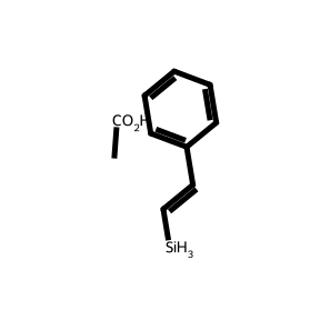 CC(=O)O.[SiH3]C=Cc1ccccc1